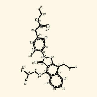 CCCc1c2c(c(OCC(F)F)c3ccccc13)C(=O)N(c1ccc(CC(=O)OCC)cc1F)C2